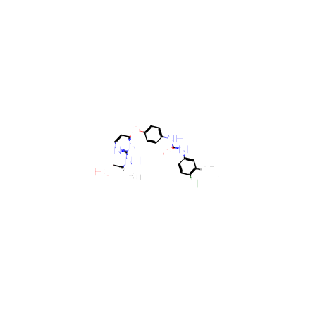 CC(C)(C)[C@H](CO)Nc1nccc(Oc2ccc(NC(=O)Nc3ccc(Cl)c(C(F)(F)F)c3)cc2)n1